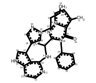 Cc1ccn2nc(C(C)Nc3ncnc4[nH]cc(-c5cnn(CCCO)c5)c34)n(-c3ccccc3)c(=O)c12